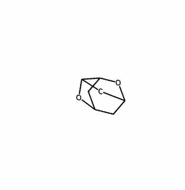 C1C2CC3OC1CC3O2